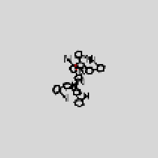 N#Cc1ccc(-c2cc(-n3c4ccc(-c5ccccc5C#N)cc4c4cc(-c5ccccc5C#N)ccc43)ncc2-n2c3ccc(-c4ccccc4C#N)cc3c3cc(-c4ccccc4C#N)ccc32)cc1